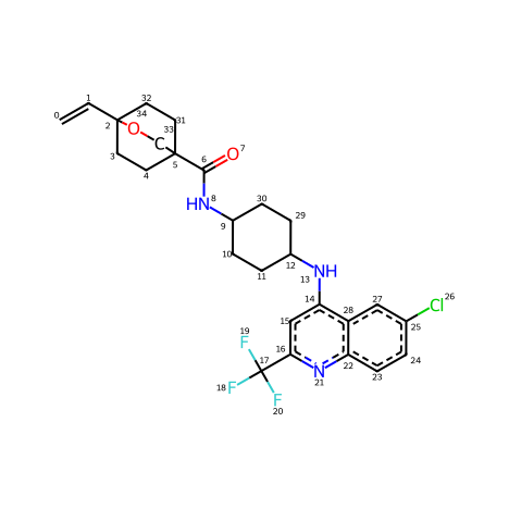 C=CC12CCC(C(=O)NC3CCC(Nc4cc(C(F)(F)F)nc5ccc(Cl)cc45)CC3)(CC1)CO2